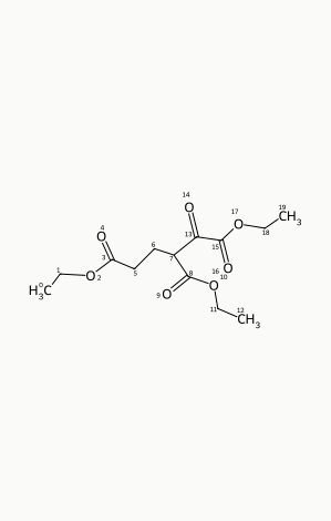 CCOC(=O)CCC(C(=O)OCC)C(=O)C(=O)OCC